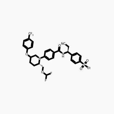 CCS(=O)(=O)c1ccc([C@H](CC#N)NC(=O)c2ccc(N3CC(Oc4ccc(C(F)(F)F)cc4)CC[C@H]3COC(F)F)cc2)cc1